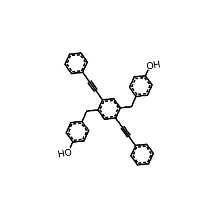 Oc1ccc(Cc2cc(C#Cc3ccccc3)c(Cc3ccc(O)cc3)cc2C#Cc2ccccc2)cc1